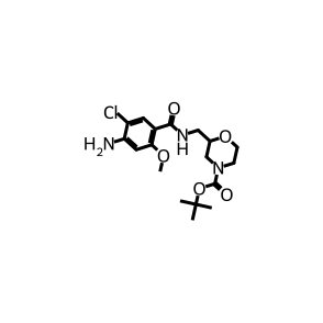 COc1cc(N)c(Cl)cc1C(=O)NCC1CN(C(=O)OC(C)(C)C)CCO1